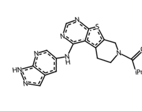 CC(C)C(=O)N1CCc2c(sc3ncnc(Nc4cnc5[nH]ncc5c4)c23)C1